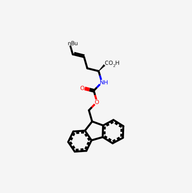 CCCCC=CC[C@H](NC(=O)OCC1c2ccccc2-c2ccccc21)C(=O)O